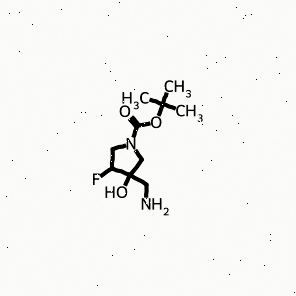 CC(C)(C)OC(=O)N1CC(F)C(O)(CN)C1